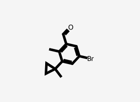 Cc1c(C=O)cc(Br)cc1C1(C)CC1